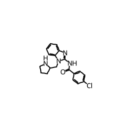 O=C(Nc1nc2ccccc2n1CC1CCCN1)c1ccc(Cl)cc1